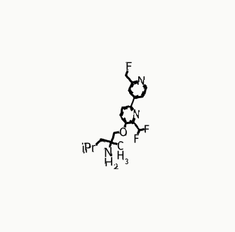 CC(C)CC(C)(N)COc1ccc(-c2ccnc(CF)c2)nc1C(F)F